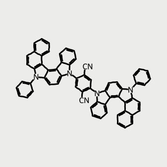 N#Cc1cc(-n2c3ccccc3c3c4c5c6ccccc6ccc5n(-c5ccccc5)c4ccc32)c(C#N)cc1-n1c2ccccc2c2c3c4c5ccccc5ccc4n(-c4ccccc4)c3ccc21